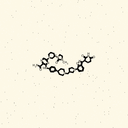 CN1CCN([C@@H]2CCCN(c3cnc(C(N)=O)c(Nc4ccc(C5CCN(CC6CCN(c7cccc8c(C9CCC(=O)NC9=O)noc78)C6)CC5)cc4)n3)C2)C1=O